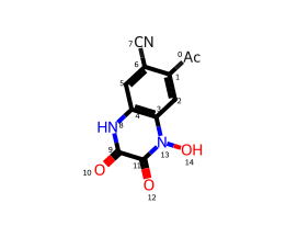 CC(=O)c1cc2c(cc1C#N)[nH]c(=O)c(=O)n2O